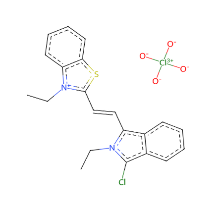 CCn1c(Cl)c2ccccc2c1/C=C/c1sc2ccccc2[n+]1CC.[O-][Cl+3]([O-])([O-])[O-]